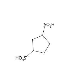 O=S(=O)(O)C1CCC(S(=O)(=O)O)C1